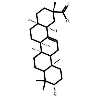 CC1(C)C2CC[C@]3(C)C(CC=C4[C@@H]5C[C@@](C)(C(=O)Cl)CC[C@]5(C)CC[C@@]43C)[C@@]2(C)CC[C@@H]1Cl